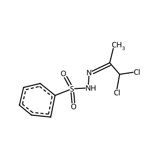 CC(=NNS(=O)(=O)c1ccccc1)C(Cl)Cl